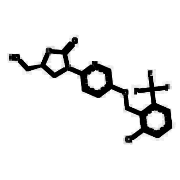 O=C1O[C@H](CO)CN1c1ccc(OCc2c(Cl)cccc2C(F)(F)F)cn1